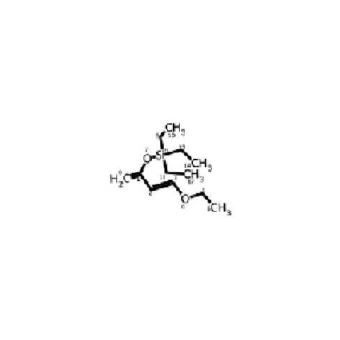 C=C(C=COCC)O[Si](CC)(CC)CC